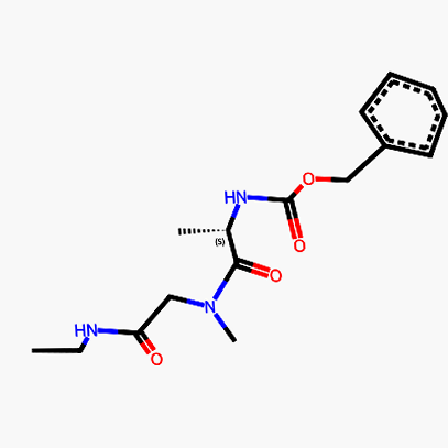 CCNC(=O)CN(C)C(=O)[C@H](C)NC(=O)OCc1ccccc1